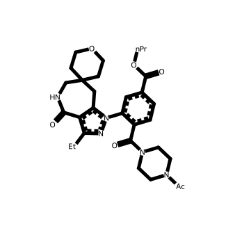 CCCOC(=O)c1ccc(C(=O)N2CCN(C(C)=O)CC2)c(-n2nc(CC)c3c2CC2(CCOCC2)CNC3=O)c1